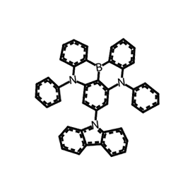 c1ccc(N2c3ccccc3B3c4ccccc4N(c4ccccc4)c4cc(-n5c6ccccc6c6ccccc65)cc2c43)cc1